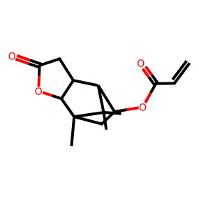 C=CC(=O)OC1CC2(C)C3OC(=O)CC3C1C2(C)C